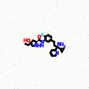 CCC1(O)CN[C@@H](C(=O)Nc2cc(CC[C@@](N)(c3ccccn3)C3CC3)ccc2F)C1